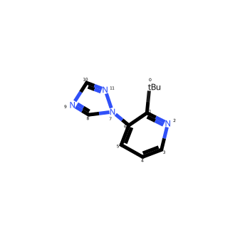 CC(C)(C)c1ncccc1-n1cncn1